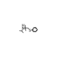 CC(C)NC(C)(C)CSc1ccccc1